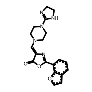 O=C1OC(c2cccc3ccoc23)=NC1=CN1CCN(C2=NCCN2)CC1